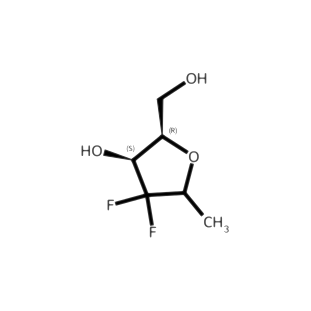 CC1O[C@H](CO)[C@H](O)C1(F)F